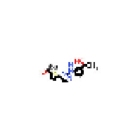 CCC(C)C(=O)c1ccc(-c2ccnc(Nc3cccc(C(C)O)c3)n2)s1